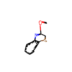 COC1=Nc2ccccc2SC1